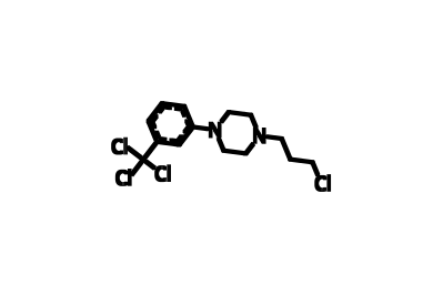 ClCCCN1CCN(c2cccc(C(Cl)(Cl)Cl)c2)CC1